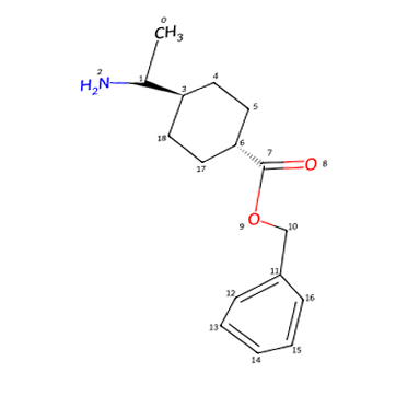 CC(N)[C@H]1CC[C@H](C(=O)OCc2ccccc2)CC1